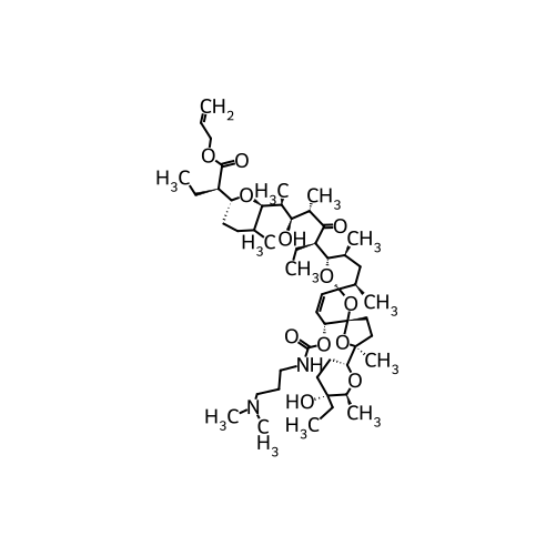 C=CCOC(=O)[C@H](CC)[C@H]1CCC(C)[C@H]([C@@H](C)[C@H](O)[C@H](C)C(=O)[C@H](CC)[C@H]2O[C@]3(C=C[C@@H](OC(=O)NCCCN(C)C)[C@]4(CC[C@@](C)([C@H]5CC[C@](O)(CC)[C@H](C)O5)O4)O3)[C@H](C)C[C@@H]2C)O1